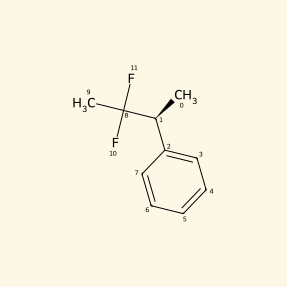 C[C@@H](c1ccccc1)C(C)(F)F